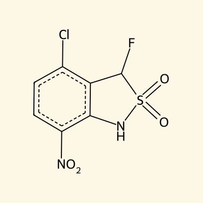 O=[N+]([O-])c1ccc(Cl)c2c1NS(=O)(=O)C2F